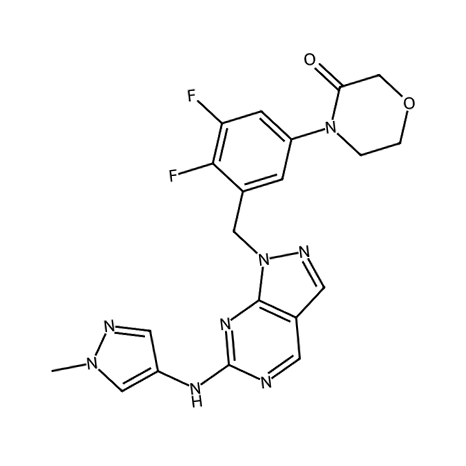 Cn1cc(Nc2ncc3cnn(Cc4cc(N5CCOCC5=O)cc(F)c4F)c3n2)cn1